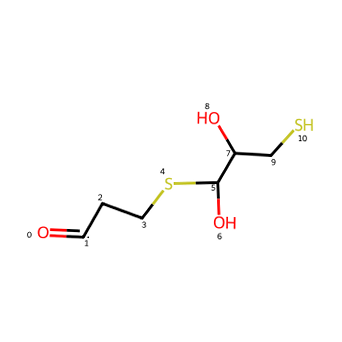 O=[C]CCSC(O)C(O)CS